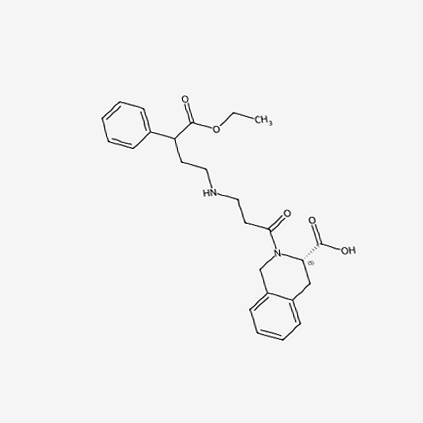 CCOC(=O)C(CCNCCC(=O)N1Cc2ccccc2C[C@H]1C(=O)O)c1ccccc1